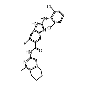 Cc1nc(NC(=O)c2cc3nc(Nc4c(Cl)cccc4Cl)[nH]c3cc2F)cc2c1CCCC2